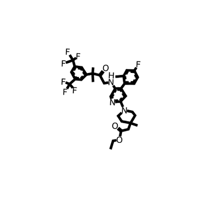 CCOC(=O)CC1(C)CCN(c2cc(-c3ccc(F)cc3C)c(NCC(=O)C(C)(C)c3cc(C(F)(F)F)cc(C(F)(F)F)c3)cn2)CC1